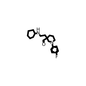 O=CC1(CCNC2CCCCC2)CCCN(c2ccc(F)cc2)C1